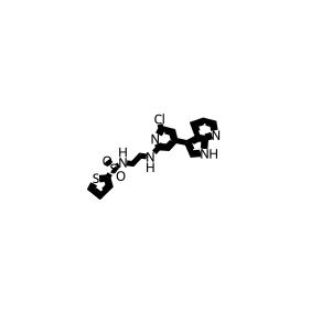 O=S(=O)(NCCNc1cc(-c2c[nH]c3ncccc23)cc(Cl)n1)c1cccs1